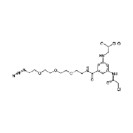 [N-]=[N+]=NCCOCCOCCOCCNC(=O)c1cc(NCC(Cl)C=O)cc(NC(=O)CCl)c1